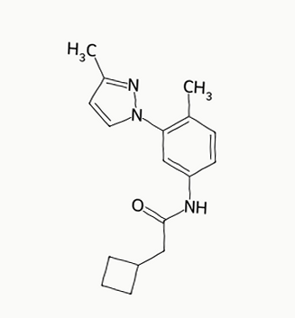 Cc1ccn(-c2cc(NC(=O)CC3CCC3)ccc2C)n1